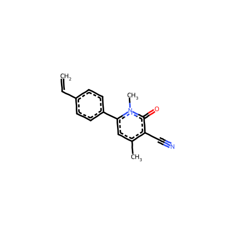 C=Cc1ccc(-c2cc(C)c(C#N)c(=O)n2C)cc1